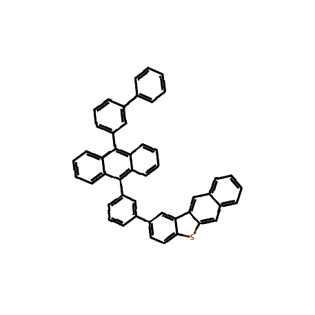 c1ccc(-c2cccc(-c3c4ccccc4c(-c4cccc(-c5ccc6sc7cc8ccccc8cc7c6c5)c4)c4ccccc34)c2)cc1